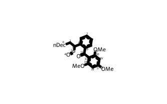 CCCCCCCCCCCC(P=O)c1ccccc1C(=O)c1c(OC)cc(OC)cc1OC